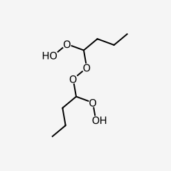 CCCC(OO)OOC(CCC)OO